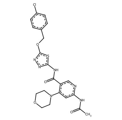 CC(=O)Nc1cc(N2CCOCC2)c(C(=O)Nc2nnc(OCc3ccc(Cl)cc3)s2)cn1